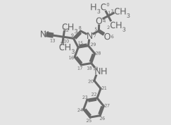 CC(C)(C)OC(=O)n1cc(C(C)(C)C#N)c2ccc(NCCc3ccccc3)cc21